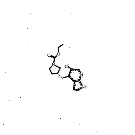 CCOC(=O)N1CC[C@@H](Nc2c(Cl)cnc3[nH]ccc23)C1